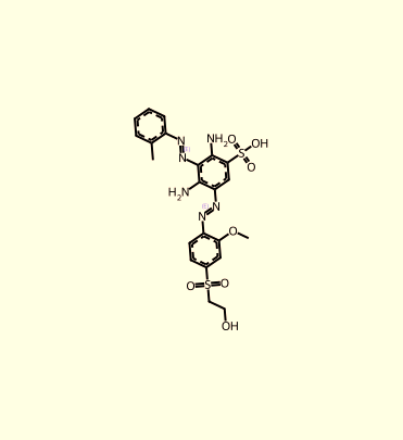 COc1cc(S(=O)(=O)CCO)ccc1/N=N/c1cc(S(=O)(=O)O)c(N)c(/N=N/c2ccccc2C)c1N